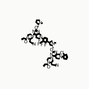 C=CC(=O)N1CCN(c2nc(OC[C@@H]3CC(c4ccc(N5CCc6c(nc(OC[C@@H]7CCCN7C)nc6N6CCN(C(=O)C=C)C(CC#N)C6)C5)c(C(F)(F)F)c4F)CN3C)nc3c2CCN(c2ccccc2Cl)C3)CC1CC#N